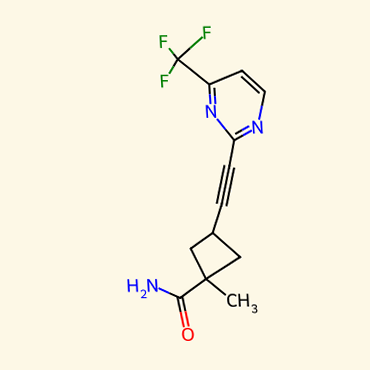 CC1(C(N)=O)CC(C#Cc2nccc(C(F)(F)F)n2)C1